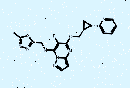 Cc1nnc(CNc2c(F)c(OC[C@H]3C[C@@H]3c3ccccn3)nc3ccnn23)s1